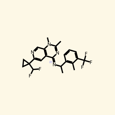 Cc1c(C(C)/N=c2\nc(C)n(C)c3cnc(C4(C(F)F)CC4)cc23)cccc1C(F)(F)F